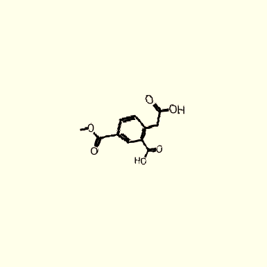 COC(=O)c1ccc(CC(=O)O)c(C(=O)O)c1